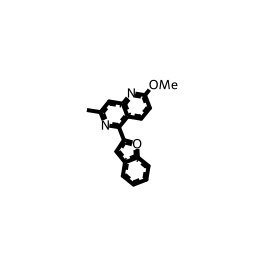 COc1ccc2c(-c3cc4ccccc4o3)nc(C)cc2n1